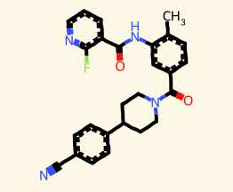 Cc1ccc(C(=O)N2CCC(c3ccc(C#N)cc3)CC2)cc1NC(=O)c1cccnc1F